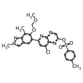 COCOc1c(-c2cc(Cl)c3nc(OS(=O)(=O)c4ccc(C)cc4)cnc3n2)cc2cn(C)nc2c1C